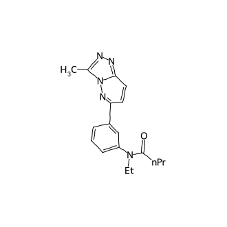 CCCC(=O)N(CC)c1cccc(-c2ccc3nnc(C)n3n2)c1